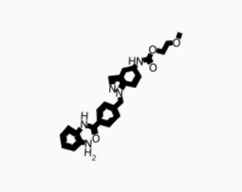 COCCOC(=O)NC1C=Cc2c(cnn2Cc2ccc(C(=O)Nc3ccccc3N)cc2)C1